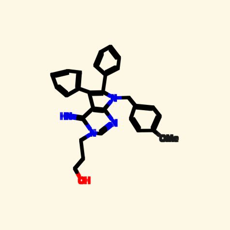 COc1ccc(Cn2c(-c3ccccc3)c(-c3ccccc3)c3c(=N)n(CCCO)cnc32)cc1